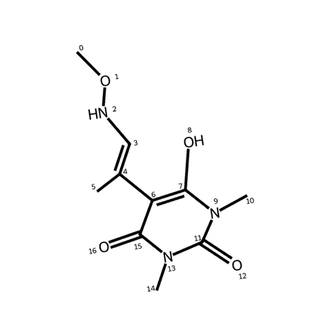 CON/C=C(\C)c1c(O)n(C)c(=O)n(C)c1=O